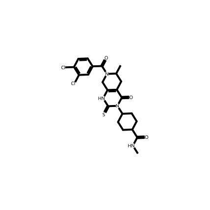 CNC(=O)C1CCC(n2c(=S)[nH]c3c(c2=O)CC(C)N(C(=O)c2ccc(Cl)c(Cl)c2)C3)CC1